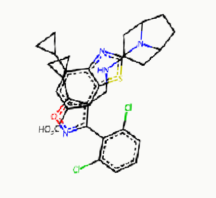 O=C(O)c1cc(C2CC2)c2nc(N3C4CCC3CC(NCc3c(-c5c(Cl)cccc5Cl)noc3C3CC3)C4)sc2c1